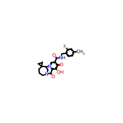 Cc1ccc(CNC(=O)c2cn3c(c(O)c2=O)C(=O)N2CCCC4(CC4)C3C2)c(F)c1